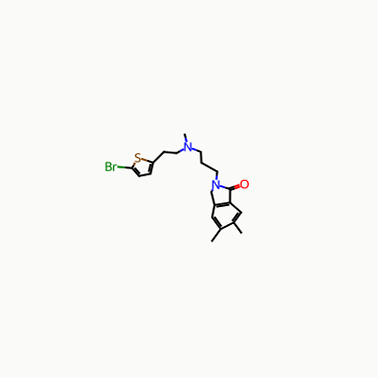 Cc1cc2c(cc1C)C(=O)N(CCCN(C)CCc1ccc(Br)s1)C2